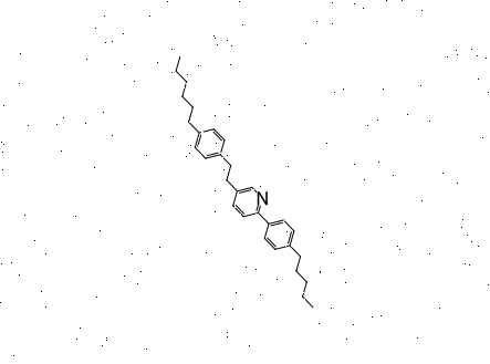 CCCCCCc1ccc(CCc2ccc(-c3ccc(CCCCC)cc3)nc2)cc1